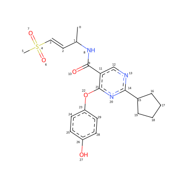 CC(C=CS(C)(=O)=O)NC(=O)c1cnc(C2CCCC2)nc1Oc1ccc(O)cc1